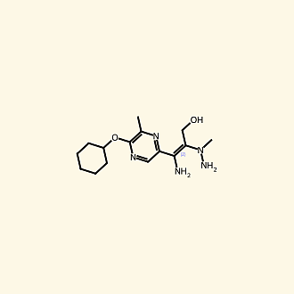 Cc1nc(/C(N)=C(\CO)N(C)N)cnc1OC1CCCCC1